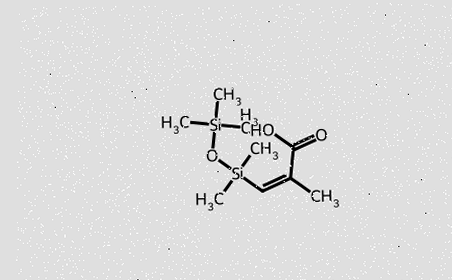 CC(=C[Si](C)(C)O[Si](C)(C)C)C(=O)O